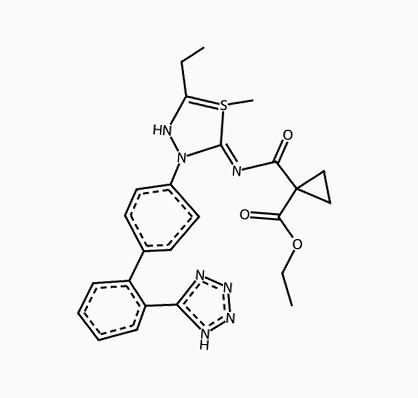 CCOC(=O)C1(C(=O)N=C2N(c3ccc(-c4ccccc4-c4nnn[nH]4)cc3)NC(CC)=S2C)CC1